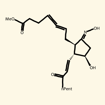 CCCCCC(=O)C=C[C@H]1[C@H](O)CC(=NO)[C@@H]1CC=C=CCCC(=O)OC